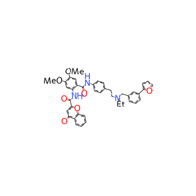 CCN(CCc1ccc(NC(=O)c2cc(OC)c(OC)cc2NC(=O)c2cc(=O)c3ccccc3o2)cc1)Cc1cccc(-c2ccco2)c1